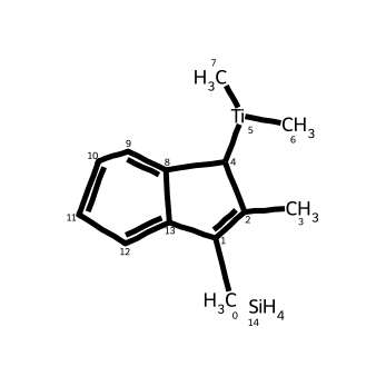 CC1=C(C)[CH]([Ti]([CH3])[CH3])c2ccccc21.[SiH4]